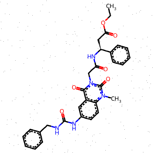 CCOC(=O)C[C@H](NC(=O)Cn1c(=O)c2cc(NC(=O)NCc3ccccc3)ccc2n(C)c1=O)c1ccccc1